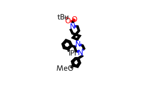 COc1ccc(CN2CCN(C3CC4(CCN(C(=O)OC(C)(C)C)CC4)C3)C(c3ccccc3C(C)C)C2)cc1